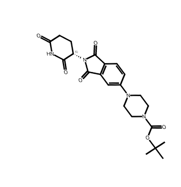 CC(C)(C)OC(=O)N1CCN(c2ccc3c(c2)C(=O)N([C@H]2CCC(=O)NC2=O)C3=O)CC1